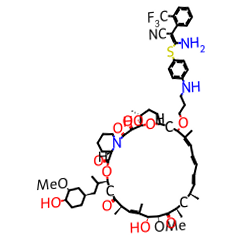 CO[C@@H]1C[C@@H](CC(C)[C@@H]2CC(=O)[C@H](C)/C=C(\C)[C@@H](O)[C@@H](OC)C(=O)[C@H](C)C[C@H](C)/C=C/C=C/C=C(/C)[C@H](OCCCNc3ccc(S/C(N)=C(\C#N)c4ccccc4C(F)(F)F)cc3)C[C@@H]3CC[C@@H](C)[C@@](O)(O3)C(=O)C(=O)N3CCCC[C@H]3C(=O)O2)CC[C@H]1O